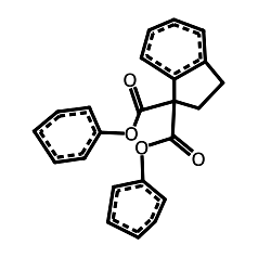 O=C(Oc1ccccc1)C1(C(=O)Oc2ccccc2)CCc2ccccc21